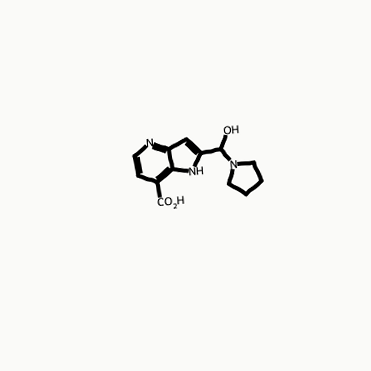 O=C(O)c1ccnc2cc(C(O)N3CCCC3)[nH]c12